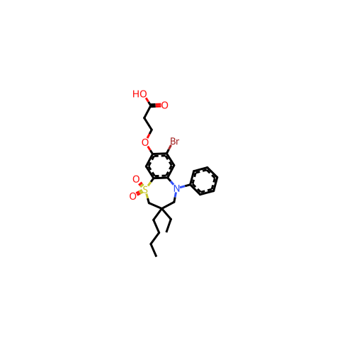 CCCCC1(CC)CN(c2ccccc2)c2cc(Br)c(OCCC(=O)O)cc2S(=O)(=O)C1